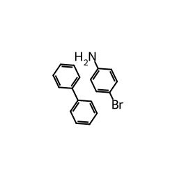 Nc1ccc(Br)cc1.c1ccc(-c2ccccc2)cc1